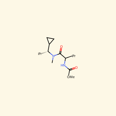 COC(=O)NC(C(=O)N(C)[C@H](C(C)C)C1CC1)C(C)C